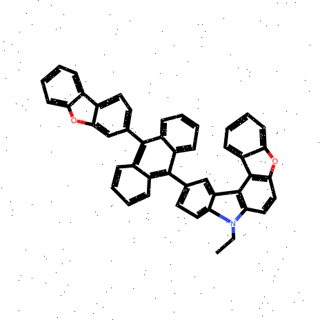 CCn1c2ccc(-c3c4ccccc4c(-c4ccc5c(c4)oc4ccccc45)c4ccccc34)cc2c2c3c(ccc21)oc1ccccc13